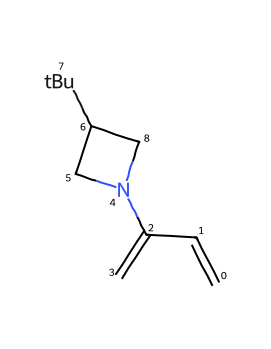 C=CC(=C)N1CC(C(C)(C)C)C1